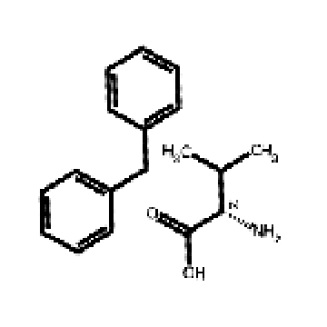 CC(C)[C@H](N)C(=O)O.c1ccc(Cc2ccccc2)cc1